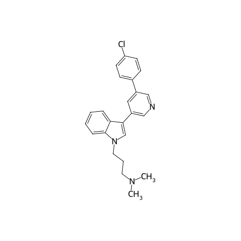 CN(C)CCCn1cc(-c2cncc(-c3ccc(Cl)cc3)c2)c2ccccc21